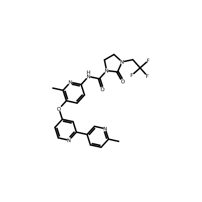 Cc1ccc(-c2cc(Oc3ccc(NC(=O)N4CCN(CC(F)(F)F)C4=O)nc3C)ccn2)cn1